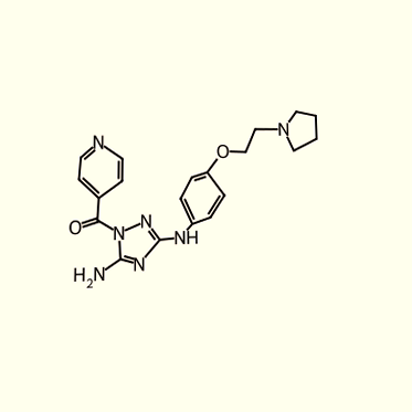 Nc1nc(Nc2ccc(OCCN3CCCC3)cc2)nn1C(=O)c1ccncc1